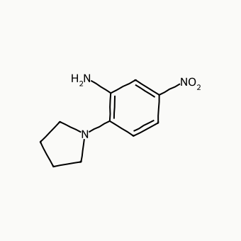 Nc1cc([N+](=O)[O-])ccc1N1CCCC1